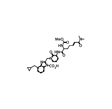 COC(=O)NC(CC/C=C/C(=O)N(C)C)C(=O)Nc1cccn(Cc2nc3c(CC4CC4)cccc3n2C(=O)O)c1=O